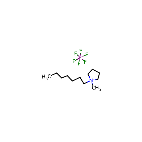 CCCCCCC[N+]1(C)CCCC1.F[P-](F)(F)(F)(F)F